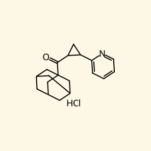 Cl.O=C(C1CC1c1ccccn1)C12CC3CC(CC(C3)C1)C2